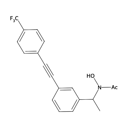 CC(=O)N(O)C(C)c1cccc(C#Cc2ccc(C(F)(F)F)cc2)c1